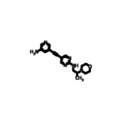 CC(CNc1ncc(C#Cc2cncc(N)c2)cn1)N1CCOCC1